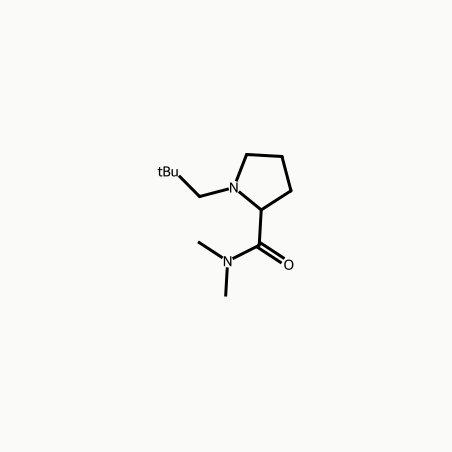 CN(C)C(=O)C1CCCN1CC(C)(C)C